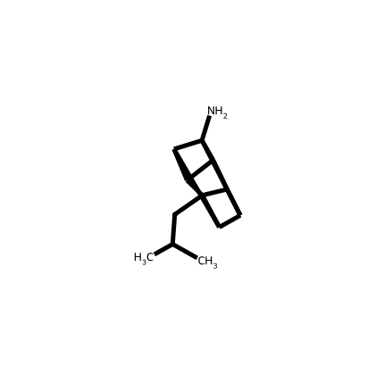 CC(C)CC12C3C4C1C1C2C3C41N